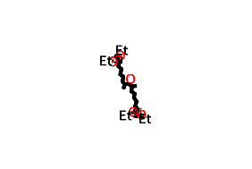 CCO[Si](C)(CCCCCCC(C)C(=O)C(C)CCCCCC[Si](C)(OCC)OCC)OCC